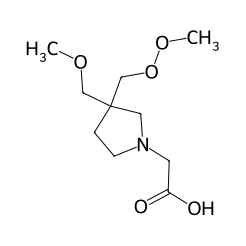 COCC1(COOC)CCN(CC(=O)O)C1